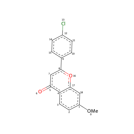 COc1ccc2c(=O)cc(-c3ccc(Cl)cc3)oc2c1